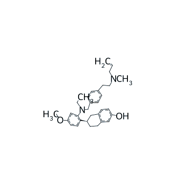 C=CCN(C)CCc1ccc(CN(CC)c2cc(OC)ccc2[C@@H]2CCc3cc(O)ccc3C2)cc1